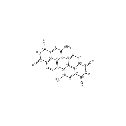 Bc1cc2c3c(ccc4c5c(B)cc6c7c(ccc(c1c34)c75)C(=O)OC6=O)C(=O)OC2=O